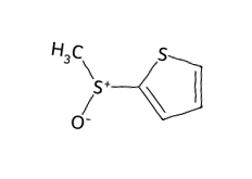 C[S+]([O-])c1cccs1